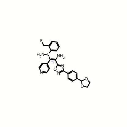 N/C(=C(/c1ccncc1)N(N)c1ccccc1CF)c1nc(-c2ccc(C3OCCO3)cc2)no1